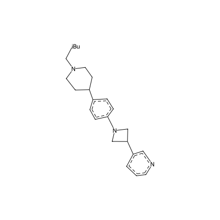 CCC(C)CN1CCC(c2ccc(N3CC(c4cccnc4)C3)cc2)CC1